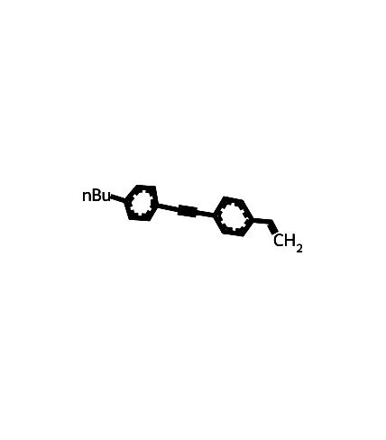 C=Cc1ccc(C#Cc2ccc(CCCC)cc2)cc1